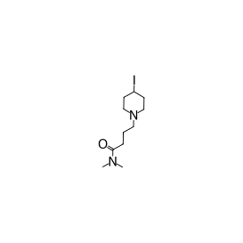 CN(C)C(=O)CCCN1CCC(I)CC1